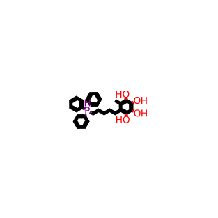 Cc1c(O)c(O)c(O)c(O)c1CCCCC[PH](c1ccccc1)(c1ccccc1)c1ccccc1